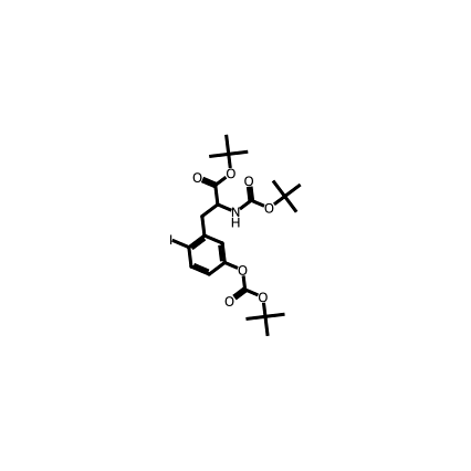 CC(C)(C)OC(=O)NC(Cc1cc(OC(=O)OC(C)(C)C)ccc1I)C(=O)OC(C)(C)C